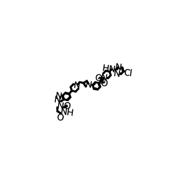 Cn1nc(N2CCC(=O)NC2=O)c2ccc(C3CCN(CC4CN(c5cccc(S(=O)(=O)N6CCC(Nc7ncc(Cl)cn7)CC6)c5)C4)CC3)cc21